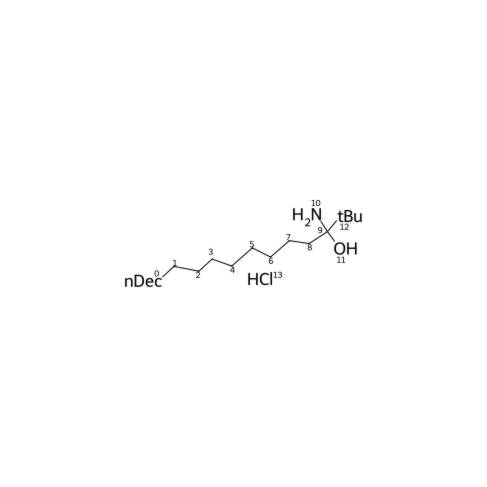 CCCCCCCCCCCCCCCCCCC(N)(O)C(C)(C)C.Cl